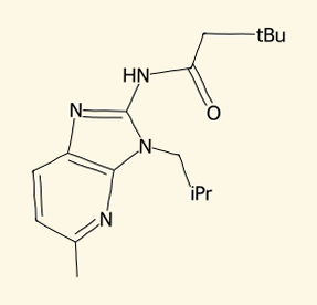 Cc1ccc2nc(NC(=O)CC(C)(C)C)n(CC(C)C)c2n1